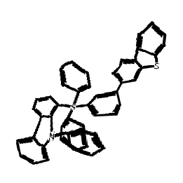 c1ccc(-n2c3ccccc3c3cccc(S(c4ccccc4)(c4ccccc4)c4cccc(-c5ccc6c(c5)sc5ccccc56)c4)c32)cc1